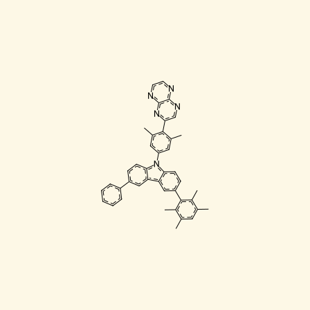 Cc1cc(C)c(C)c(-c2ccc3c(c2)c2cc(-c4ccccc4)ccc2n3-c2cc(C)c(-c3cnc4nccnc4n3)c(C)c2)c1C